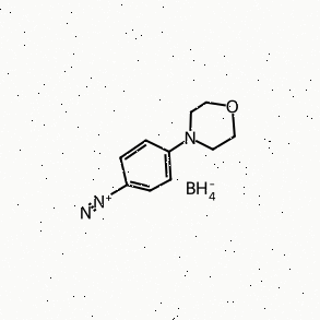 N#[N+]c1ccc(N2CCOCC2)cc1.[BH4-]